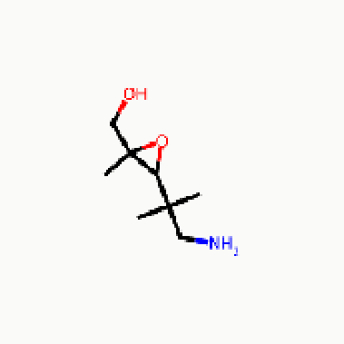 CC(C)(CN)C1OC1(C)CO